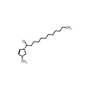 CCCCCCCCCCCC(Cl)N1C=CN(C)C1